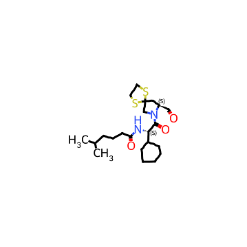 CC(C)CCCC(=O)N[C@H](C(=O)N1CC2(C[C@H]1C=O)SCCS2)C1CCCCC1